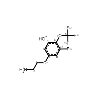 Cl.NCCOc1ccc(OC(F)(F)F)c(F)c1